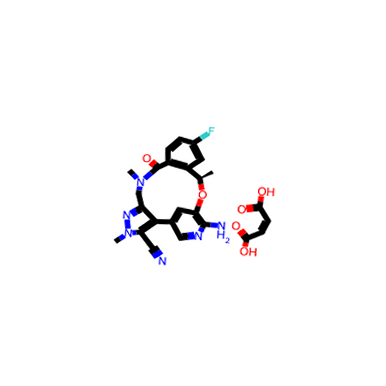 C[C@H]1Oc2cc(cnc2N)-c2c(nn(C)c2C#N)CN(C)C(=O)c2ccc(F)cc21.O=C(O)/C=C\C(=O)O